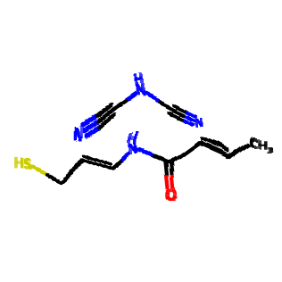 CC=CC(=O)NC=CCS.N#CNC#N